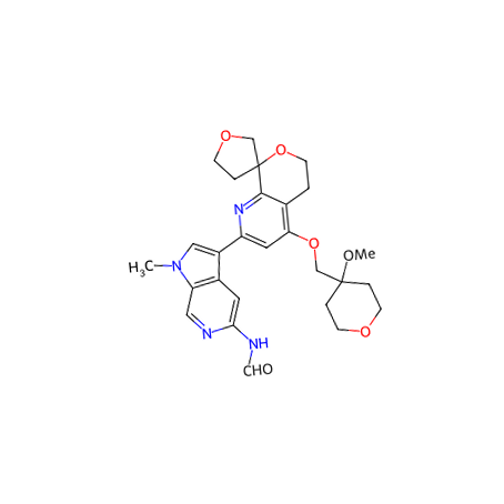 COC1(COc2cc(-c3cn(C)c4cnc(NC=O)cc34)nc3c2CCOC32CCOC2)CCOCC1